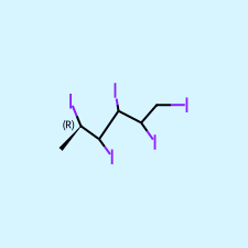 C[C@@H](I)C(I)C(I)C(I)CI